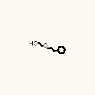 OCCOCCCc1ccccc1